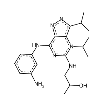 CC(O)CNc1nc(Nc2cccc(N)c2)c2nnc(C(C)C)c-2n1C(C)C